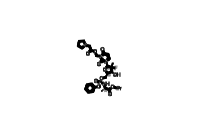 CC(C)OC(=O)[C@H](C)NP(=O)(OC[C@H]1O[C@@H](n2ccc(=O)n(COC(=O)CN3CCCC3)c2=O)[C@](C)(F)[C@@H]1O)Oc1ccccc1